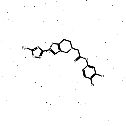 O=C(CN1CCc2sc(-c3noc(C(F)(F)F)n3)cc2C1)Nc1ccc(Cl)c(Cl)c1